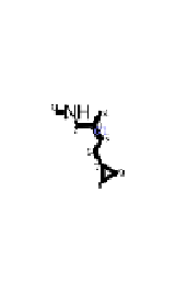 CNC/C(C)=C\CC1CC1